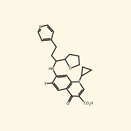 O=C(O)c1cn(C2CC2)c2cc(NC(CCc3ccncc3)C3CCCO3)c(F)cc2c1=O